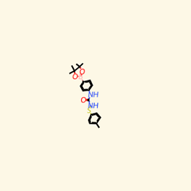 Cc1ccc(SNC(=O)Nc2ccc(B3OC(C)(C)C(C)(C)O3)cc2)cc1